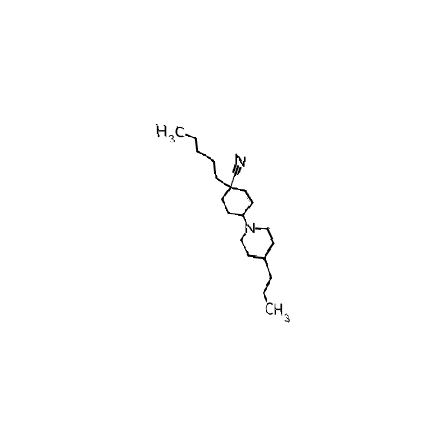 CCCCCC1(C#N)CCC(N2CCC(CCC)CC2)CC1